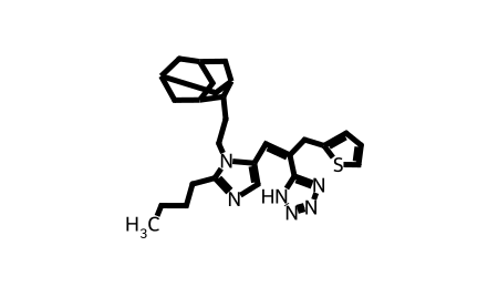 CCCCc1ncc(C=C(Cc2cccs2)c2nnn[nH]2)n1CCC1C2CC3CC(C2)CC1C3